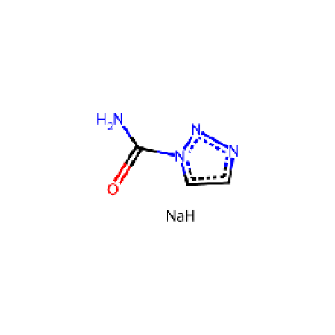 NC(=O)n1ccnn1.[NaH]